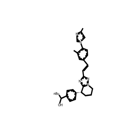 CCCCC(O)c1ccc([C@H]2CCCn3nc(/C=C/c4ccc(-n5cnc(C)c5)c(C)c4)nc32)cc1